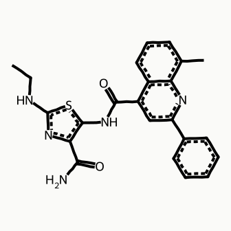 CCNc1nc(C(N)=O)c(NC(=O)c2cc(-c3ccccc3)nc3c(C)cccc23)s1